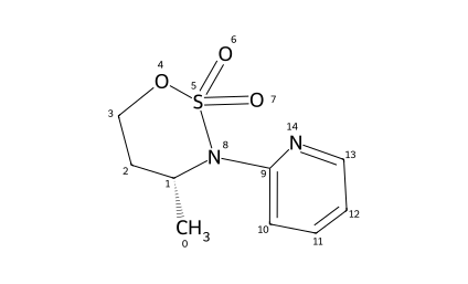 C[C@@H]1CCOS(=O)(=O)N1c1ccccn1